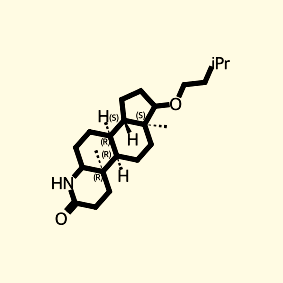 CC(C)CCOC1CC[C@H]2[C@@H]3CCC4NC(=O)CC[C@]4(C)[C@@H]3CC[C@]12C